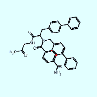 CC(=O)CNC(=O)C(Cc1ccc(-c2ccccc2)cc1)N(Cc1ccc(-c2ccccc2)cc1)C(=O)c1ccc(C(N)=S)cc1